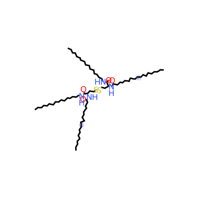 CCCCCCCC/C=C/CCCCCCCC(=O)NC(CCSSCCC(NC(=O)CCCCCCC/C=C/CCCCCCCC)C(=O)NCCCCCCCCCCCCCCCC)C(=O)NCCCCCCCCCCCCCCCC